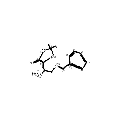 CC1(C)OC(=O)C(C(COCc2ccccc2)C(=O)O)O1